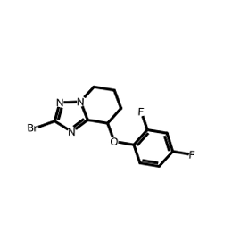 Fc1ccc(OC2CCCn3nc(Br)nc32)c(F)c1